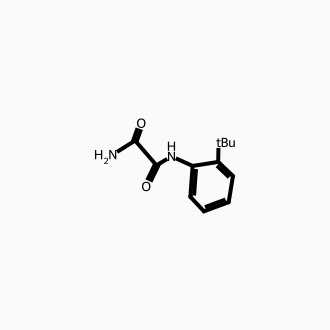 CC(C)(C)c1ccccc1NC(=O)C(N)=O